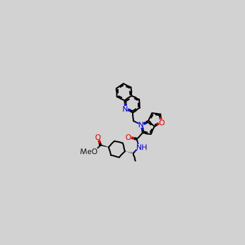 COC(=O)[C@H]1CC[C@H](C(C)NC(=O)c2cc3occc3n2Cc2ccc3ccccc3n2)CC1